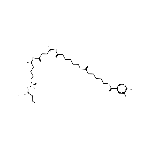 C[C@H](CCCOP(=O)(O)N[C@@H](CCC(=O)O)C(=O)O)NC(=O)CC[C@H](NC(=O)CCCCCNC(=O)CCCCCNC(=O)c1cnc(F)c(Cl)c1)C(=O)O